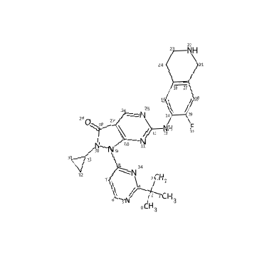 CC(C)(C)c1nccc(-n2c3nc(Nc4cc5c(cc4F)CNCC5)ncc3c(=O)n2C2CC2)n1